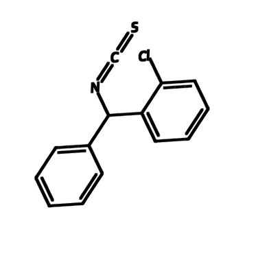 S=C=NC(c1ccccc1)c1ccccc1Cl